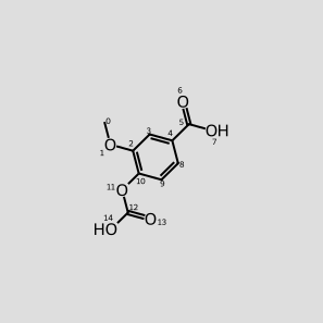 COc1cc(C(=O)O)ccc1OC(=O)O